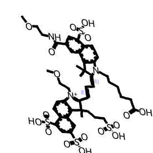 COCCNC(=O)c1cc(S(=O)(=O)O)c2ccc3c(c2c1)C(C)(C)/C(=C\C=C\C1=[N+](CCOC)c2ccc4c(S(=O)(=O)O)cc(S(=O)(=O)O)cc4c2C1(C)CCCS(=O)(=O)O)N3CCCCCC(=O)O